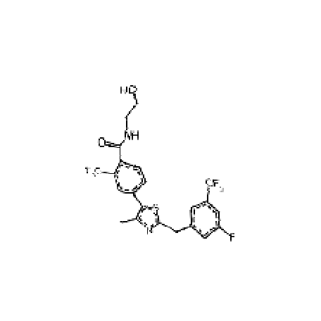 Cc1nc(Cc2cc(F)cc(C(F)(F)F)c2)sc1-c1ccc(C(=O)NCCO)c(C(F)(F)F)c1